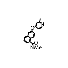 CNC(=O)c1cccc2cc(Oc3ccnc(C)c3)ccc12